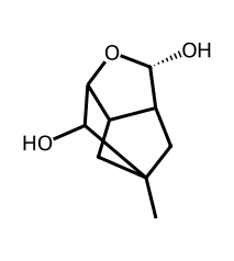 CC12CC3C(O[C@H](O)C3C1)C2O